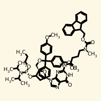 CCCOP(OC1C[C@H](n2cnc3c(=O)[nH]c(NC(=O)CCCN(C)C(=O)OCC4c5ccccc5-c5ccccc54)nc32)O[C@@H]1COC(c1ccccc1)(c1ccc(OC)cc1)c1ccc(OC)cc1)N(C(C)C)C(C)C